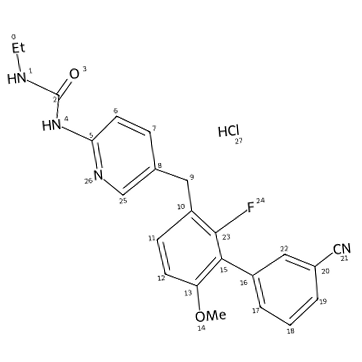 CCNC(=O)Nc1ccc(Cc2ccc(OC)c(-c3cccc(C#N)c3)c2F)cn1.Cl